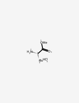 CC[C@@H](C)[C@H](N)C(=O)OC.Cl